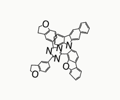 c1ccc2cc3c(cc2c1)c1ccccc1n3-c1ccc2c(oc3ccccc32)c1-c1nc(-c2ccc3c(c2)CCO3)nc(-c2ccc3c(c2)CCO3)n1